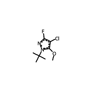 COc1c(Cl)c(F)nn1C(C)(C)C